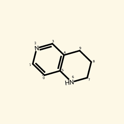 [c]1cncc2c1NCCC2